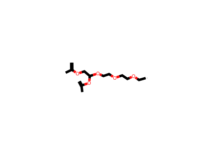 [CH2]COCCOCCOC(COC(=C)C)OC(=C)C